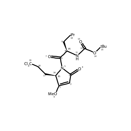 COC1=CC(=O)N(C(=O)[C@@H](CC(C)C)NC(=O)OC(C)(C)C)[C@@H]1CCC(Cl)(Cl)Cl